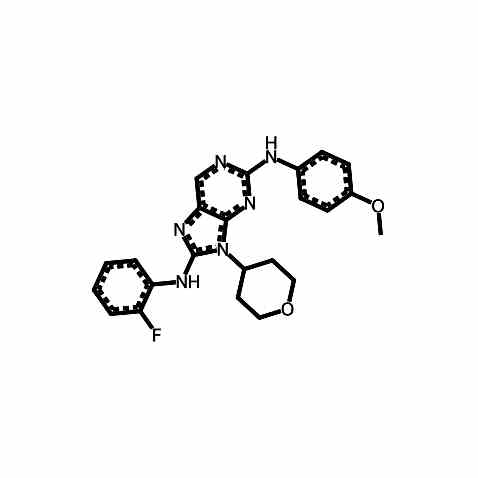 COc1ccc(Nc2ncc3nc(Nc4ccccc4F)n(C4CCOCC4)c3n2)cc1